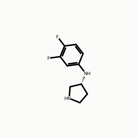 Fc1ccc(N[C@@H]2CCNC2)cc1F